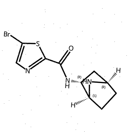 O=C(N[C@@H]1C[C@H]2CC[C@@H]1N2)c1ncc(Br)s1